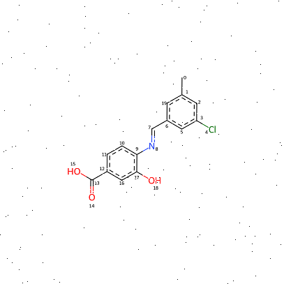 Cc1cc(Cl)cc(/C=N/c2ccc(C(=O)O)cc2O)c1